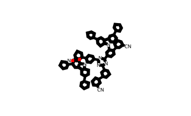 N#Cc1cccc(-c2cccc(-c3nc(-c4ccc(-c5cccc(C#N)c5)c(-n5c6ccc(-c7ccccc7)cc6c6cc(-c7ccccc7)ccc65)c4)nc(-c4ccc(-c5cccc(C#N)c5)c(-n5c6ccc(-c7ccccc7)cc6c6cc(-c7ccccc7)ccc65)c4)n3)c2)c1